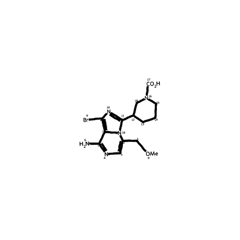 COCc1cnc(N)c2c(Br)nc(C3CCCN(C(=O)O)C3)n12